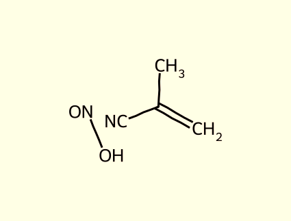 C=C(C)C#N.O=NO